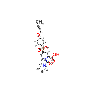 CC#CCOc1ccc(S(=O)(=O)C2CCN(C(=O)N3CCCC3)C(C(=O)O)C2)cc1